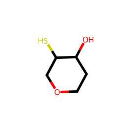 OC1CCOCC1S